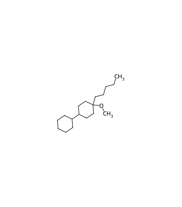 CCCCCC1(OC)CCC(C2CCCCC2)CC1